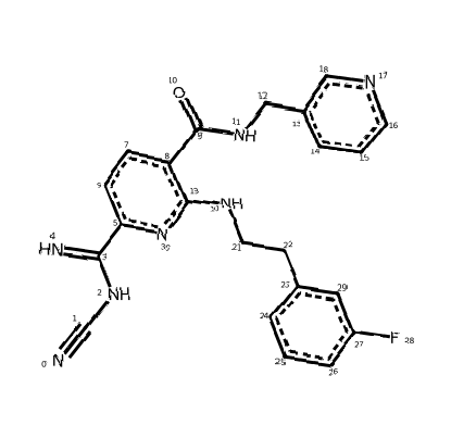 N#CNC(=N)c1ccc(C(=O)NCc2cccnc2)c(NCCc2cccc(F)c2)n1